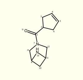 O=C(C1CC=CC1)N1CC2CC(C1)N2